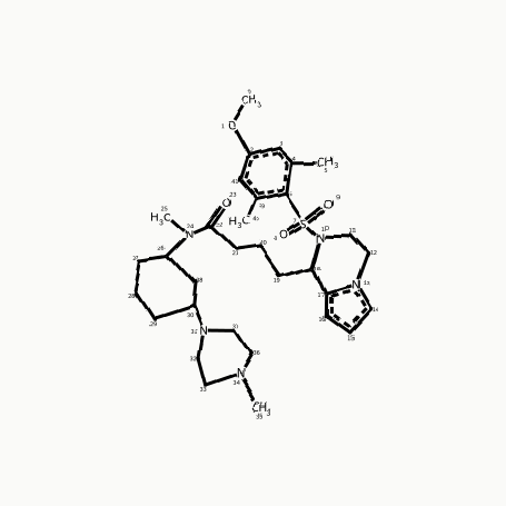 COc1cc(C)c(S(=O)(=O)N2CCn3cccc3C2CCCC(=O)N(C)C2CCCC(N3CCN(C)CC3)C2)c(C)c1